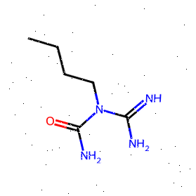 CCCCN(C(=N)N)C(N)=O